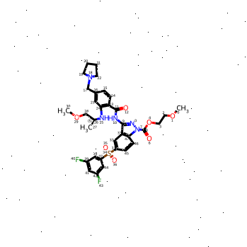 COCCOC(=O)n1nc(NC(=O)c2ccc(CN3CCCC3)cc2N[C@@H](C)COC)c2cc(S(=O)(=O)c3cc(F)cc(F)c3)ccc21